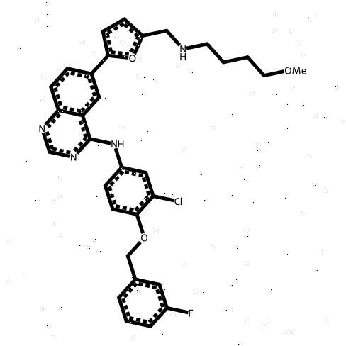 COCCCCNCc1ccc(-c2ccc3ncnc(Nc4ccc(OCc5cccc(F)c5)c(Cl)c4)c3c2)o1